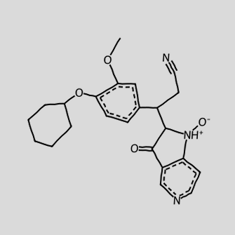 COc1cc(C(CC#N)C2C(=O)c3cnccc3[NH+]2[O-])ccc1OC1CCCCC1